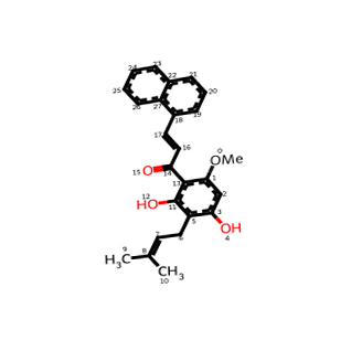 COc1cc(O)c(CC=C(C)C)c(O)c1C(=O)/C=C/c1cccc2ccccc12